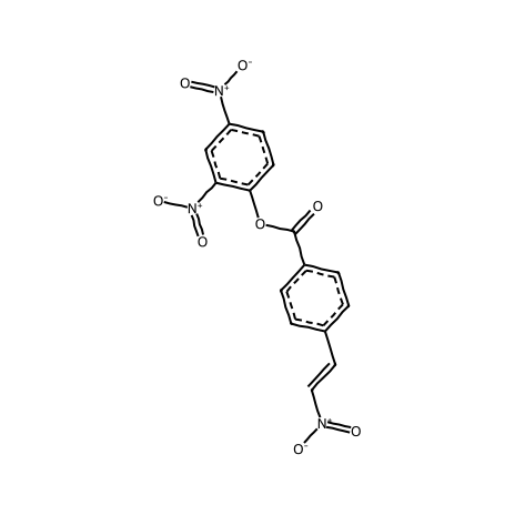 O=C(Oc1ccc([N+](=O)[O-])cc1[N+](=O)[O-])c1ccc(C=C[N+](=O)[O-])cc1